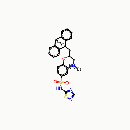 CCNCC(CC12CCC(c3ccccc31)c1ccccc12)Oc1ccc(S(=O)(=O)Nc2ncns2)cc1C#N